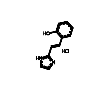 Cl.Oc1ccccc1/C=C/c1ncc[nH]1